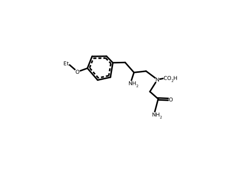 CCOc1ccc(CC(N)CN(CC(N)=O)C(=O)O)cc1